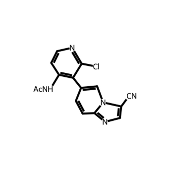 CC(=O)Nc1ccnc(Cl)c1-c1ccc2ncc(C#N)n2c1